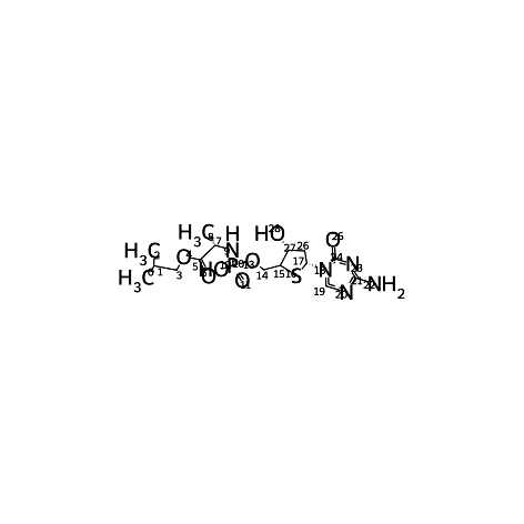 CC(C)COC(=O)[C@H](C)NP(=O)(O)OCC1S[C@@H](n2cnc(N)nc2=O)C[C@H]1O